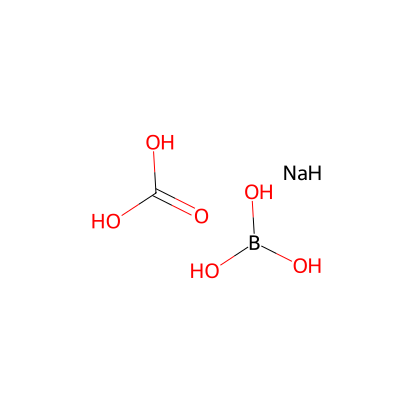 O=C(O)O.OB(O)O.[NaH]